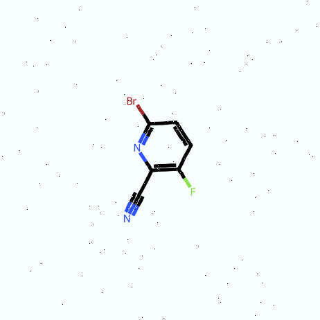 N#Cc1nc(Br)ccc1F